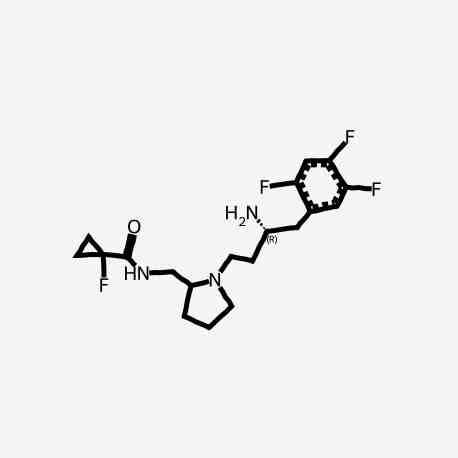 N[C@@H](CCN1CCCC1CNC(=O)C1(F)CC1)Cc1cc(F)c(F)cc1F